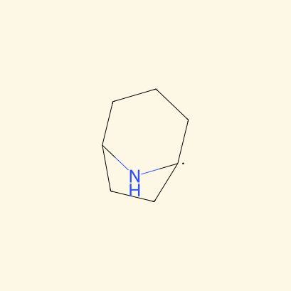 C1C[C]2CCC(C1)N2